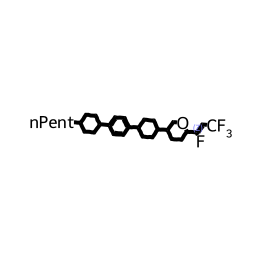 CCCCCC1CCC(c2ccc(C3CCC(C4CCC(/C(F)=C/C(F)(F)F)OC4)CC3)cc2)CC1